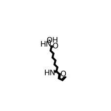 N=C(CCCCCCC(=O)NO)c1ccco1